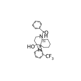 O=C(c1ccccc1)N1CCC(O)(c2cccc(C(F)(F)F)c2)[C@H]2CCCC[C@@H]21